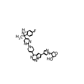 C[C@](N)(c1ccc(F)cc1)c1cnc(N2CC=C(c3ncnn4cc(-c5cnn([C@H]6COC[C@@H]6O)c5)cc34)CC2)nc1